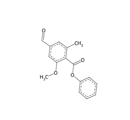 COc1cc(C=O)cc(C)c1C(=O)Oc1ccccc1